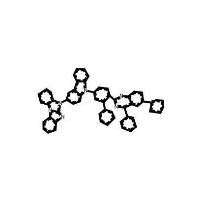 c1ccc(-c2ccc3nc(-c4ccc(-n5c6ccccc6c6cc(-n7c8ccccc8n8c9ccccc9nc78)ccc65)cc4-c4ccccc4)nc(-c4ccccc4)c3c2)cc1